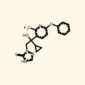 OC(Cn1nc[nH]c1=S)(c1ccc(Oc2ccccc2)nc1C(F)(F)F)C1CC1